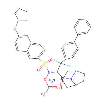 NC1CC2CCC(C1)N2C(=O)[C@H](N(OC(=O)C(F)(F)F)S(=O)(=O)c1ccc2cc(OC3CCCC3)ccc2c1)C(F)(F)c1ccc(-c2ccccc2)cc1